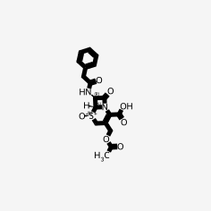 CC(=O)OCC1=C(C(=O)O)N2C(=O)[C@@H](NC(=O)Cc3ccccc3)[C@@H]2[S@@+]([O-])C1